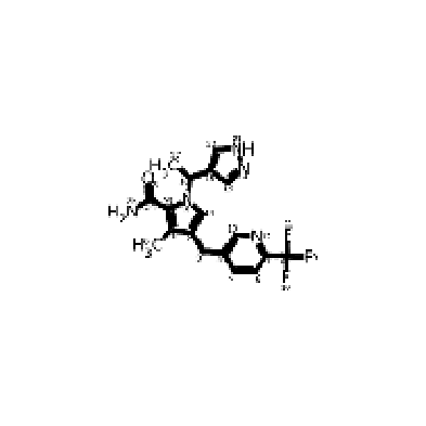 Cc1c(Cc2ccc(C(F)(F)F)nc2)cn(C(C)c2cn[nH]c2)c1C(N)=O